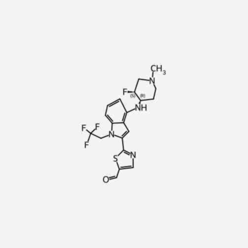 CN1CC[C@@H](Nc2cccc3c2cc(-c2ncc(C=O)s2)n3CC(F)(F)F)[C@@H](F)C1